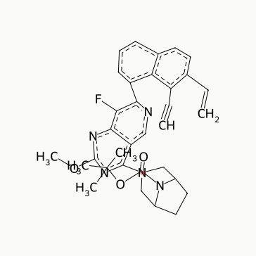 C#Cc1c(C=C)ccc2cccc(-c3ncc4c(N5CC6CCC(C5)N6C(=O)OC(C)(C)C)nc(OC)nc4c3F)c12